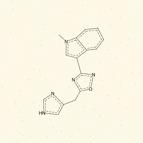 Cn1cc(-c2noc(Cc3c[nH]cn3)n2)c2ccccc21